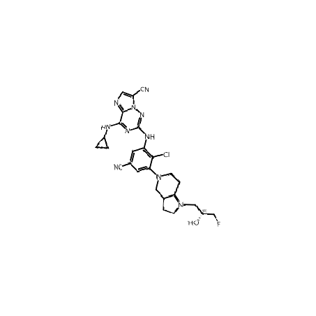 N#Cc1cc(Nc2nc(NC3CC3)c3ncc(C#N)n3n2)c(Cl)c(N2CCC3C(CCN3C[C@@H](O)CF)C2)c1